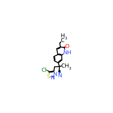 CCc1cc2ccc(C(C)(C#N)Cc3nnsc3Cl)cc2[nH]c1=O